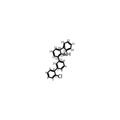 Clc1ccccc1-c1cccc(-c2cccc3c2[nH]c2ccccc23)c1